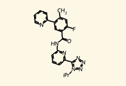 Cc1cc(F)c(C(=O)Nc2cccc(-c3nnnn3C(C)C)n2)cc1-c1ccccn1